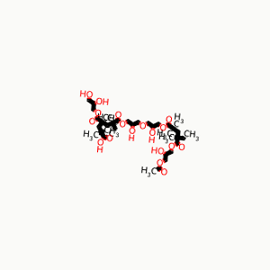 CCC(C)(CC(C)(C)C(=O)OCC(O)COCC(O)COC(=O)C(C)(CC)CC(C)(CC(C)(C)C(=O)O)C(=O)OCC(O)CO)C(=O)OCC(O)COC(C)=O